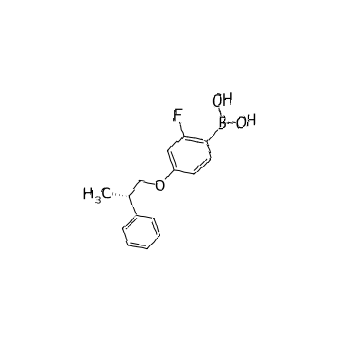 C[C@H](COc1ccc(B(O)O)c(F)c1)c1ccccc1